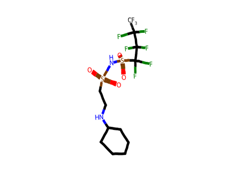 O=S(=O)(CCNC1CCCCC1)NS(=O)(=O)C(F)(F)C(F)(F)C(F)(F)C(F)(F)F